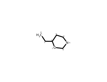 CCC1CC[N]CO1